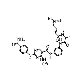 CCCNc1nc(Nc2ccc(C(N)=O)cc2)ncc1C(=O)Nc1cccc(NC(=O)C(C)N(C)C(=O)/C=C/CN(CC)CC)c1